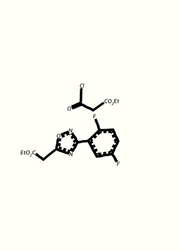 CCOC(=O)CC(=O)Cl.CCOC(=O)Cc1nc(-c2cc(F)ccc2F)no1